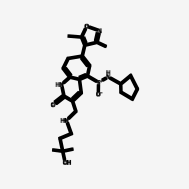 Cc1noc(C)c1C1=CC([S+]([O-])NC2CCCC2)=c2cc(CNCCC(C)(C)O)c(=O)[nH]c2=CC1